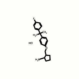 CC(C)(c1ccc(F)cc1)c1ccc(OCC2CCCC2N)cc1.Cl